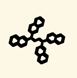 c1ccc2cc(P(CCP(c3ccc4ccccc4c3)c3ccc4ccccc4c3)c3ccc4ccccc4c3)ccc2c1